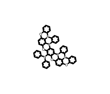 c1ccc(N(c2ccccc2)c2c3c(cc4c2Oc2ccc5c6c2B4c2ccccc2N6c2ccccc2O5)B2c4ccccc4N4c5ccccc5Oc5ccc(c2c54)O3)cc1